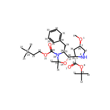 CO[C@H]1CN[C@@](C(=O)OC(C)(C)C)([C@@H]2OC(C)(C)N(C(=O)OCC[Si](C)(C)C)[C@H]2Cc2ccccc2)C1